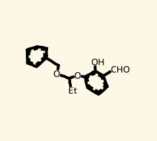 CCC(OCc1ccccc1)Oc1cccc(C=O)c1O